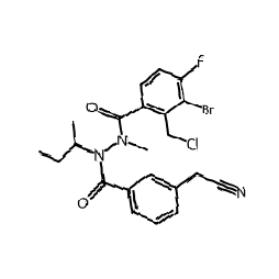 CCC(C)N(C(=O)c1cccc(CC#N)c1)N(C)C(=O)c1ccc(F)c(Br)c1CCl